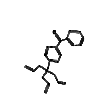 C=CCC(CC=C)(CC=C)c1ccc(C(=O)c2ccccc2)cc1